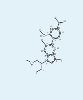 CC[C@H](COC)n1cc(C)c2nc(-c3ccc(C(C)C)nc3OC)c(C)cc21